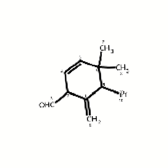 C=C1C(C=O)C=CC(C)(C)C1C(C)C